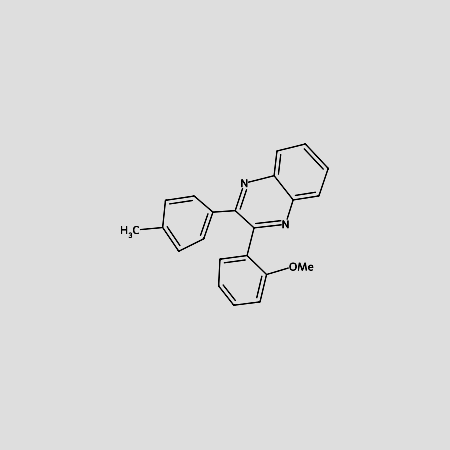 COc1ccccc1-c1nc2ccccc2nc1-c1ccc(C)cc1